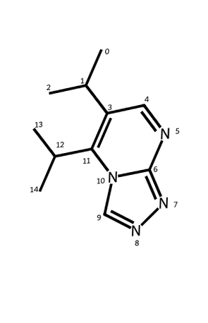 CC(C)c1cnc2nncn2c1C(C)C